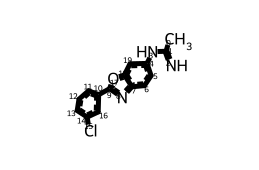 CC(=N)Nc1ccc2nc(-c3cccc(Cl)c3)oc2c1